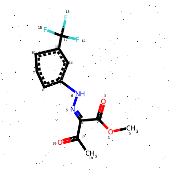 COC(=O)C(=NNc1cccc(C(F)(F)F)c1)C(C)=O